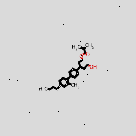 C=C(C)C(=O)OCCC(CCO)c1ccc(-c2ccc(CCCC)cc2C)cc1